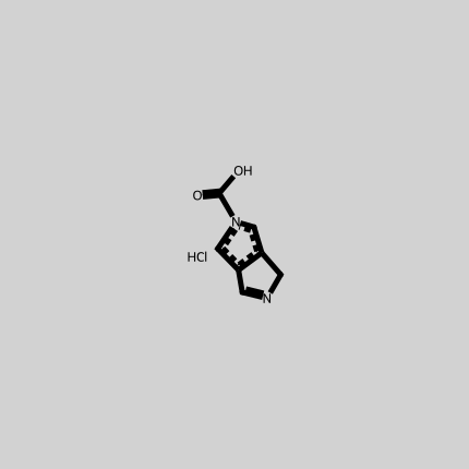 Cl.O=C(O)n1cc2c(c1)CN=C2